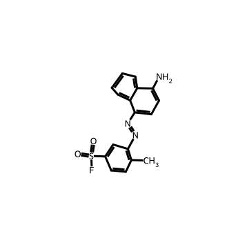 Cc1ccc(S(=O)(=O)F)cc1N=Nc1ccc(N)c2ccccc12